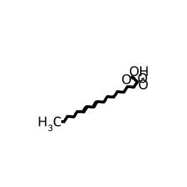 CCCCCC=CC=CCCCCCCCC1(C(=O)O)OO1